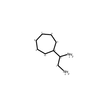 NCC(N)C1CCCCCC1